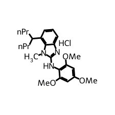 CCCC(CCC)c1cccc2nc(Nc3c(OC)cc(OC)cc3OC)n(C)c12.Cl